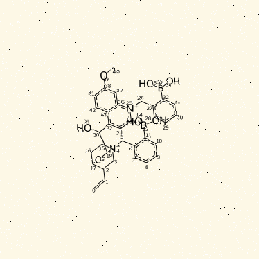 C=CC1C[N+]2(Cc3ccccc3B(O)O)CCC1CC2C(O)c1cc[n+](Cc2ccccc2B(O)O)c2cc(OC)ccc12